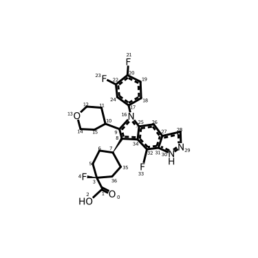 O=C(O)[C@]1(F)CC[C@@H](c2c(C3CCOCC3)n(-c3ccc(F)c(F)c3)c3cc4cn[nH]c4c(F)c32)CC1